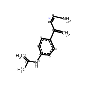 C=C(C)Nc1ccc(C(=C)/C=C\N)cc1